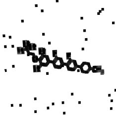 CCc1cc(-c2ccc(-c3ccc(C4CCC(C)CC4)cc3F)cc2F)cc(CC)c1OCCC(CC)(CC)CC